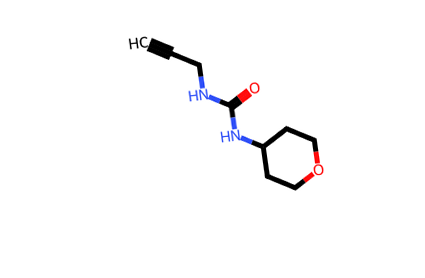 C#CCNC(=O)NC1CCOCC1